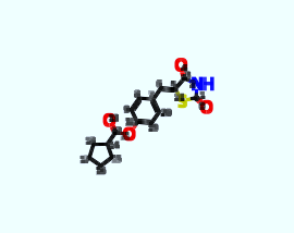 O=C1NC(=O)C(=Cc2ccc(OC(=O)C3CCCC3)cc2)S1